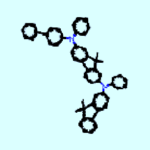 CC1(C)c2ccccc2-c2ccc(N(c3ccccc3)c3ccc4c(c3)C(C)(C)c3cc(N(c5ccccc5)c5ccc(-c6ccccc6)cc5)ccc3-4)cc21